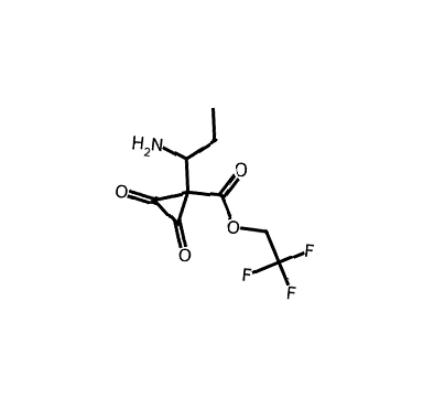 CCC(N)C1(C(=O)OCC(F)(F)F)C(=O)C1=O